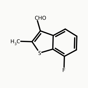 Cc1sc2c(F)cccc2c1C=O